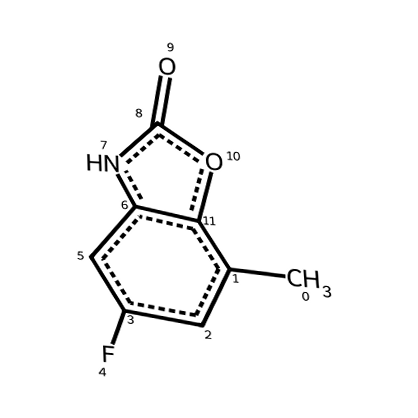 Cc1cc(F)cc2[nH]c(=O)oc12